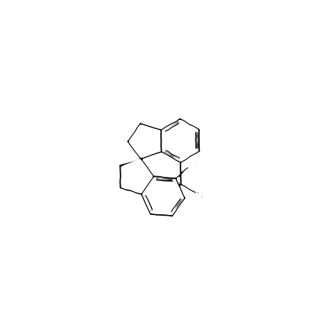 Cc1cccc2c1[C@]1(CC2)CCc2cccc(CN)c21